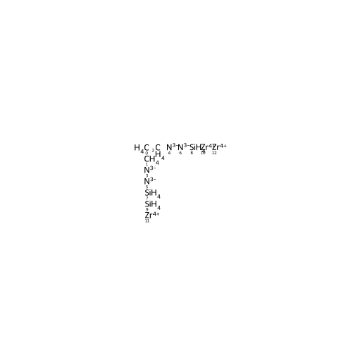 C.C.C.[N-3].[N-3].[N-3].[N-3].[SiH4].[SiH4].[SiH4].[Zr+4].[Zr+4].[Zr+4]